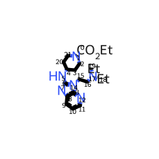 CCOC(=O)N1CCC(Nc2nc3cccnc3n2CCN(CC)CC)CC1